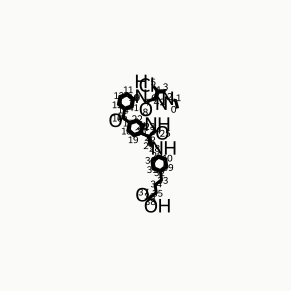 CCn1cc(Cl)c(C(=O)Nc2cccc(C(=O)c3ccc4c(c3)NC(=O)/C4=C\Nc3ccc(CCCC(=O)O)cc3)c2)n1